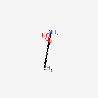 CCCCCCCCCCCCCCCCOC(=O)CC(O)CN